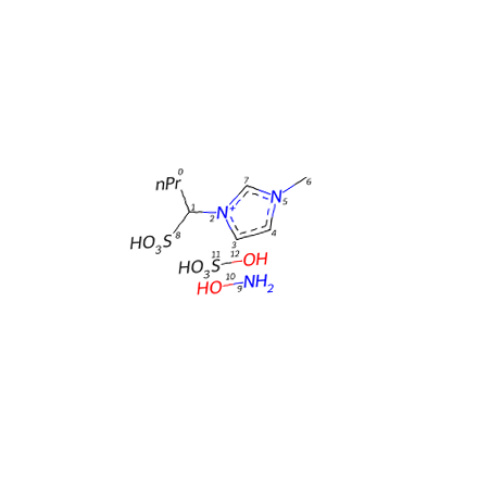 CCCC([n+]1ccn(C)c1)S(=O)(=O)O.NO.O=S(=O)(O)O